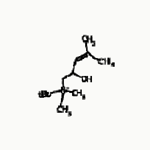 CC(C)=CC(O)C[N+](C)(C)C(C)(C)C